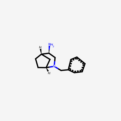 N[C@H]1CN(Cc2ccccc2)[C@@H]2CC[C@H]1C2